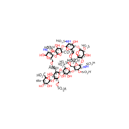 CC(=O)N[C@H]1[C@@H](O[C@H]2[C@H](O)[C@@H](O)[C@H](O[C@H]3[C@H](OS(=O)(=O)O)[C@@H](NS(=O)(=O)O)[C@@H](O[C@H]4[C@H](O)[C@@H](OS(=O)(=O)O)[C@H](O[C@H]5[C@H](O)[C@@H](NS(=O)(=O)O)[C@@H](O[C@H]6[C@H](O)[C@@H](OS(=O)(=O)O)[C@H](O[C@H]7[C@H](O)[C@@H](NS(=O)(=O)O)C(O)O[C@@H]7COS(=O)(=O)O)O[C@H]6C(=O)O)O[C@@H]5COS(=O)(=O)O)O[C@H]4C(=O)O)O[C@@H]3COS(=O)(=O)O)O[C@@H]2C(=O)O)O[C@H](COS(=O)(=O)O)[C@@H](O[C@@H]2OC(C(=O)O)[C@@H](C(C)(C)C)[C@H](O)[C@H]2O)[C@@H]1O